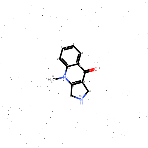 Cn1c2c(c(=O)c3ccccc31)CNC2